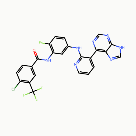 O=C(Nc1cc(Nc2ncccc2-c2ncnc3[nH]cnc23)ccc1F)c1ccc(Cl)c(C(F)(F)F)c1